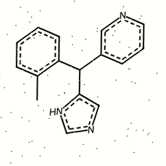 Cc1ccccc1C(c1cccnc1)c1cnc[nH]1